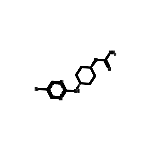 NC(=O)O[C@H]1CC[C@H](Nc2ncc(Br)cn2)CC1